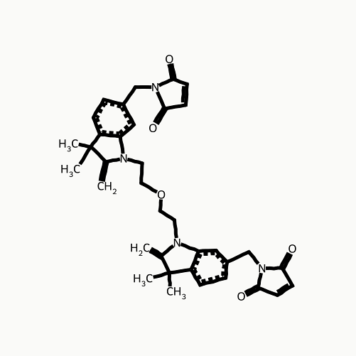 C=C1N(CCOCCN2C(=C)C(C)(C)c3ccc(CN4C(=O)C=CC4=O)cc32)c2cc(CN3C(=O)C=CC3=O)ccc2C1(C)C